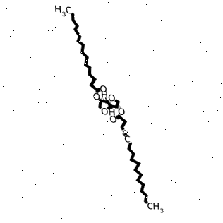 CCCCCCCCCCCCCCCCCC(=O)O[C@@H]1CO[C@H]2[C@@H]1OC[C@@H]2OC(=O)CCCCCCCCCCCCCCC